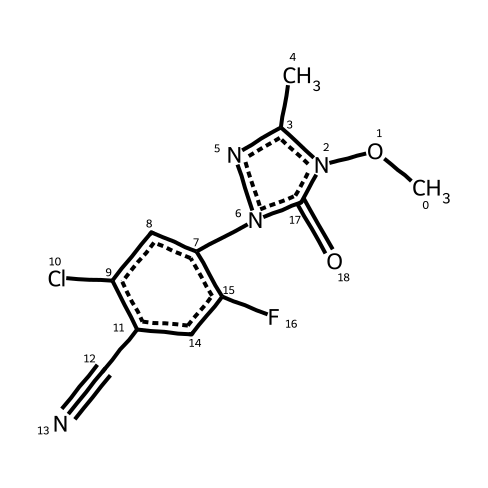 COn1c(C)nn(-c2cc(Cl)c(C#N)cc2F)c1=O